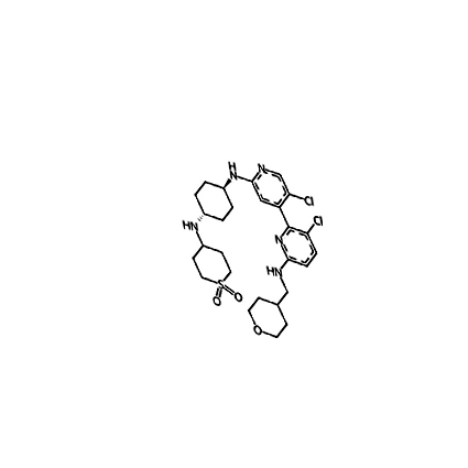 O=S1(=O)CCC(N[C@H]2CC[C@H](Nc3cc(-c4nc(NCC5CCOCC5)ccc4Cl)c(Cl)cn3)CC2)CC1